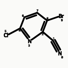 N#Cc1nc(Cl)ccc1Br